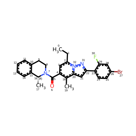 CCc1cc(C(=O)N2CCc3ccccc3[C@H]2C)c(C)c2cc(-c3ccc(Br)cc3F)nn12